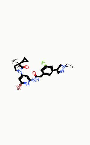 Cn1cc(-c2cc(F)cc(CC(=O)Nc3cc(N4CC[C@@](C#N)(C5CC5)C4=O)cc(Br)n3)c2)cn1